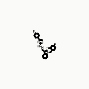 Cc1ccc(Cn2cc(/C=N/Nc3nc(-c4ccc(F)cc4)cs3)c3ccccc32)c(Cl)c1